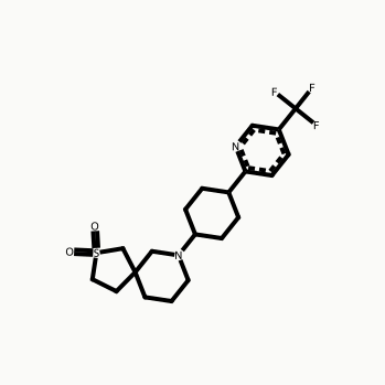 O=S1(=O)CCC2(CCCN(C3CCC(c4ccc(C(F)(F)F)cn4)CC3)C2)C1